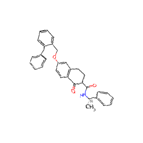 C[C@H](NC(=O)C1CCc2cc(OCc3ccccc3-c3ccccc3)ccc2C1=O)c1ccccc1